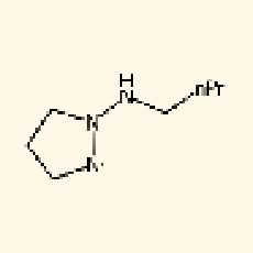 CCCCNN1CCC[N]1